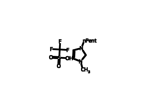 CCCCCN1C=CN(C)C1.O=S(=O)(O)C(F)(F)F